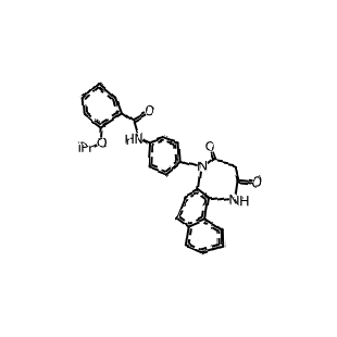 CC(C)Oc1ccccc1C(=O)Nc1ccc(N2C(=O)CC(=O)Nc3c2ccc2ccccc32)cc1